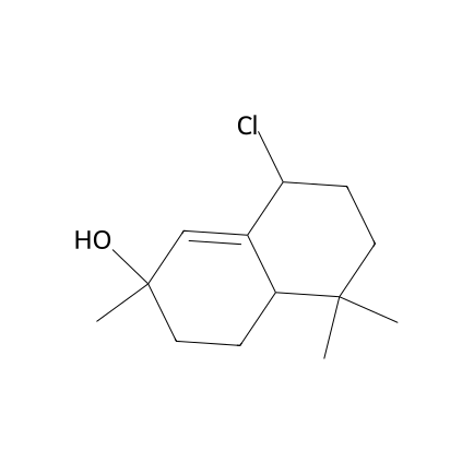 CC1(O)C=C2C(Cl)CCC(C)(C)C2CC1